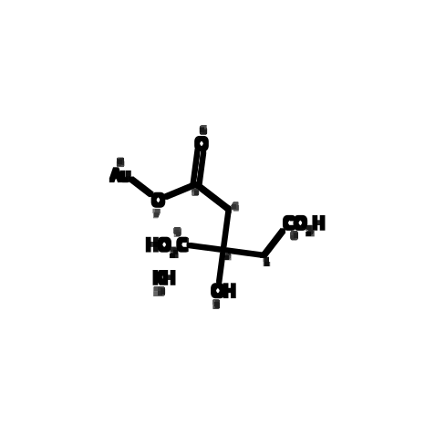 O=C(O)CC(O)(CC(=O)[O][Au])C(=O)O.[KH]